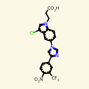 O=C(O)CCn1cc(Cl)c2cc(-n3cnc(-c4ccc([N+](=O)[O-])c(C(F)(F)F)c4)c3)ccc21